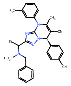 CCC(c1nc2n(n1)[C@H](c1ccc(C#N)cc1)C(C#N)=C(C)N2c1cccc(C(F)(F)F)c1)N(Cc1ccccc1)C(=O)O